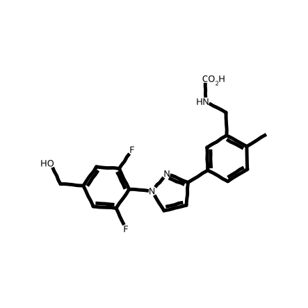 Cc1ccc(-c2ccn(-c3c(F)cc(CO)cc3F)n2)cc1CNC(=O)O